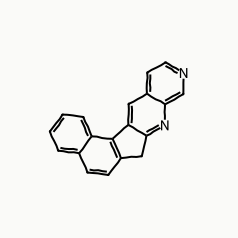 c1ccc2c3c(ccc2c1)Cc1nc2cnccc2cc1-3